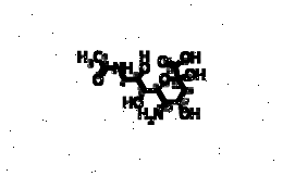 CC(=O)NC[C@@H](O)[C@@H](O)[C@@H]1OC(O)(C(=O)O)C[C@H](O)[C@H]1N